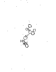 CN(CC(CCN1CCC(Nc2nc3ccccc3n2C)CC1)c1cccc(Cl)c1)C(=O)c1ccccc1